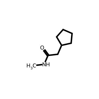 CNC(=O)CC1CCCC1